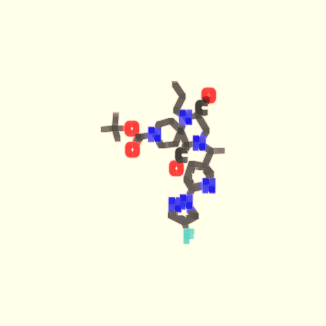 CCCN1C(=C=O)CN(C(C)c2ccc(-n3cc(F)cn3)nc2)C(=C=O)C12CCN(C(=O)OC(C)(C)C)CC2